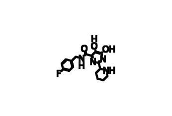 O=C(NCc1ccc(F)cc1)c1nc(C2CCCCN2)nc(O)c1O